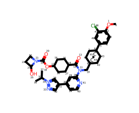 COc1ccc(C23CCC(CN(C(=O)C4CCC(OC(=O)N5CCC5O)CC4)c4cc(-c5cnn(C(C)C)c5)ccn4)(CC2)CC3)cc1Cl